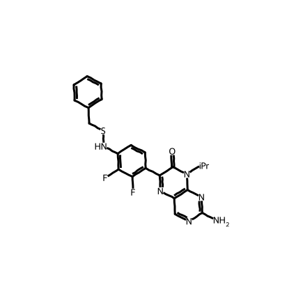 CC(C)n1c(=O)c(-c2ccc(NSCc3ccccc3)c(F)c2F)nc2cnc(N)nc21